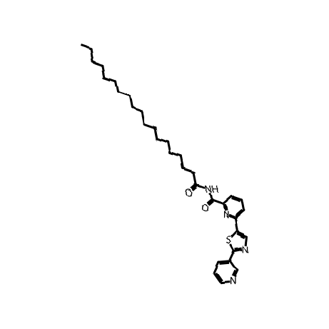 CCCCCCCCCCCCCCCCCCC(=O)NC(=O)c1cccc(-c2cnc(-c3cccnc3)s2)n1